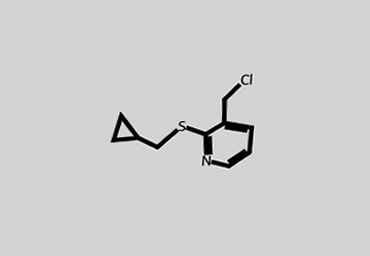 ClCc1cccnc1SCC1CC1